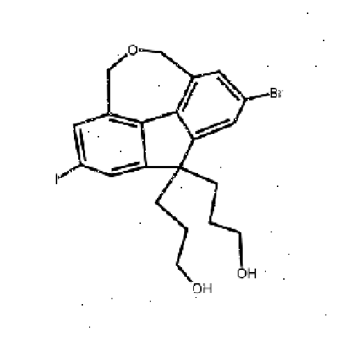 OCCCC1(CCCO)c2cc(Br)cc3c2-c2c(cc(I)cc21)COC3